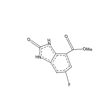 COC(=O)c1cc(F)cc2[nH]c(=O)[nH]c12